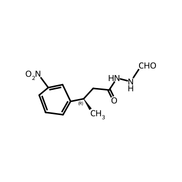 C[C@H](CC(=O)NNC=O)c1cccc([N+](=O)[O-])c1